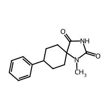 CN1C(=O)NC(=O)C12CCC(c1ccccc1)CC2